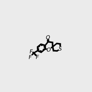 O=C1CC2(CCSCC2)Oc2cc(C(F)(F)F)ccc21